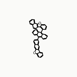 c1ccc2c(c1)ccc1c2oc2cccc(-c3c4ccccc4c(-c4ccc5cc6oc7ccccc7c6cc5c4)c4ccccc34)c21